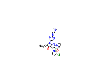 CN(C)C1CN(c2ncc(-n3cc(C(=O)O)c(=O)c4cc(Cl)c(N5CCC[C@]5(C)COc5ncccc5Cl)nc43)cn2)C1